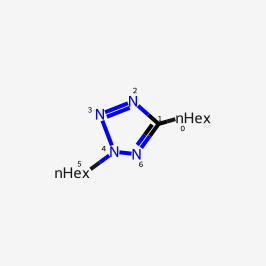 CCCCCCc1nnn(CCCCCC)n1